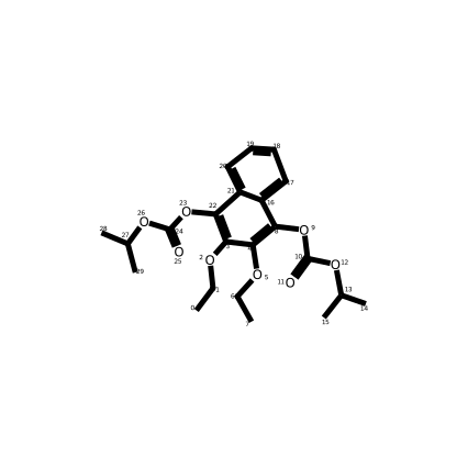 CCOc1c(OCC)c(OC(=O)OC(C)C)c2ccccc2c1OC(=O)OC(C)C